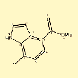 COC(=O)c1ccc(C)c2[nH]ccc12